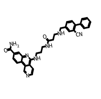 N#Cc1cc(CNCCC(=O)NCCCNc2nc3cc(C(N)=O)ccc3c3cnccc23)ccc1-c1ccccc1